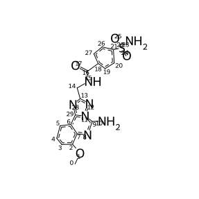 COc1cccc2c1nc(N)n1nc(CNC(=O)c3ccc(S(N)(=O)=O)cc3)nc21